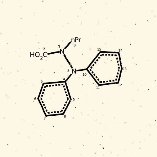 CCCN(C(=O)O)N(c1ccccc1)c1ccccc1